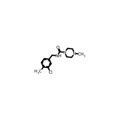 Cc1ccc(CNC(=O)N2CCN(C)CC2)cc1Cl